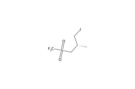 C[C@@H](CI)CS(=O)(=O)C(F)(F)F